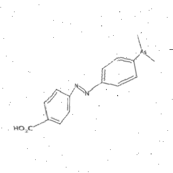 C[As](C)c1ccc(/N=N/c2ccc(C(=O)O)cc2)cc1